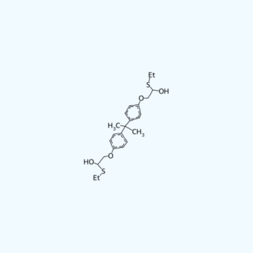 CCSC(O)COc1ccc(C(C)(C)c2ccc(OCC(O)SCC)cc2)cc1